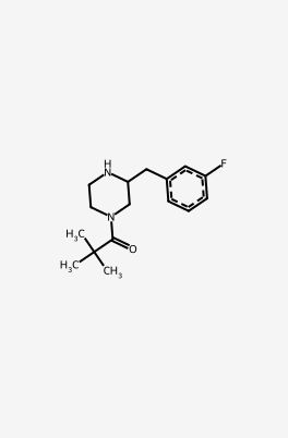 CC(C)(C)C(=O)N1CCNC(Cc2cccc(F)c2)C1